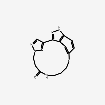 O=C1CCn2ncc(n2)-c2n[nH]c3ccc(cc23)OCCCN1